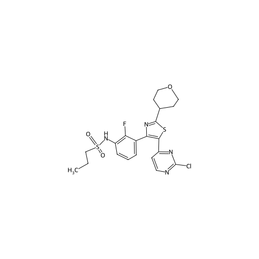 CCCS(=O)(=O)Nc1cccc(-c2nc(C3CCOCC3)sc2-c2ccnc(Cl)n2)c1F